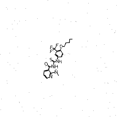 CCCCCOc1ccc(NC(=S)NC(=O)c2cccnc2N(C)C)cc1C(F)(F)F